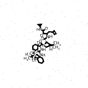 CCC(C)(C)S(=O)(=O)CC1(NC(=O)N[C@H](C(=O)N2C[C@H]3C([C@H]2C(=O)NC(CC2CCC2)C(=O)C(=O)NC2CC2)C3(C)C)C2(C)CCCCC2)CCCCC1